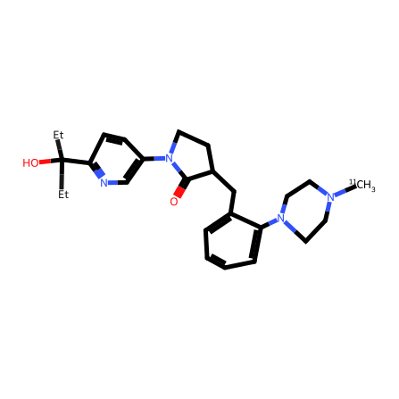 CCC(O)(CC)c1ccc(N2CCC(Cc3ccccc3N3CCN([11CH3])CC3)C2=O)cn1